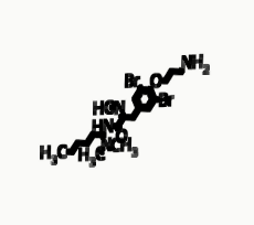 CCCCCC(NC(=O)C(Cc1cc(Br)c(OCCCN)c(Br)c1)=NO)N(C)C